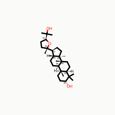 CC(C)(O)[C@@H]1CC[C@@](C)([C@H]2CC[C@]3(C)[C@@H]2CC[C@@H]2[C@@]4(C)CC[C@@H](O)C(C)(C)[C@@H]4CC[C@]23C)O1